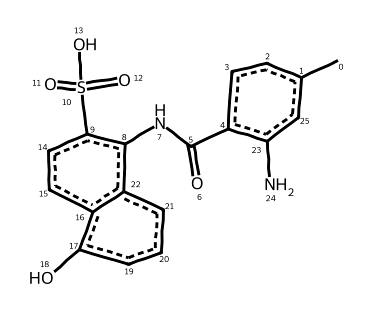 Cc1ccc(C(=O)Nc2c(S(=O)(=O)O)ccc3c(O)cccc23)c(N)c1